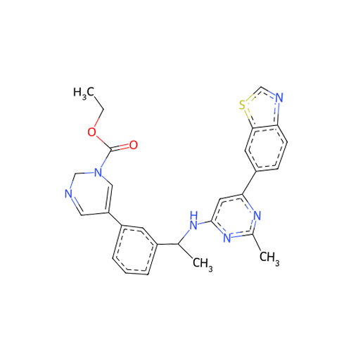 CCOC(=O)N1C=C(c2cccc(C(C)Nc3cc(-c4ccc5ncsc5c4)nc(C)n3)c2)C=NC1